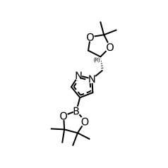 CC1(C)OC[C@@H](Cn2cc(B3OC(C)(C)C(C)(C)O3)cn2)O1